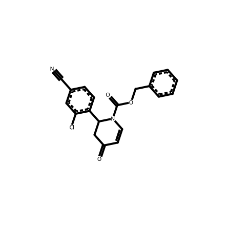 N#Cc1ccc(C2CC(=O)C=CN2C(=O)OCc2ccccc2)c(Cl)c1